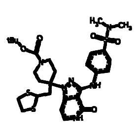 CN(C)S(=O)(=O)c1ccc(Nc2nn(C3(CC4SCCS4)CCN(C(=O)OC(C)(C)C)CC3)c3cc[nH]c(=O)c23)cc1